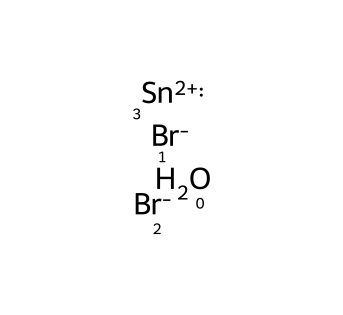 O.[Br-].[Br-].[Sn+2]